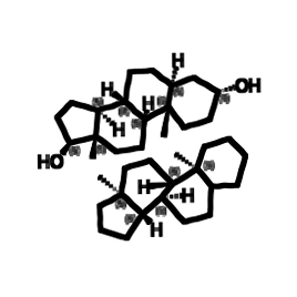 C[C@@]12CCC[C@H]1[C@@H]1CCC3CCCC[C@]3(C)[C@H]1CC2.C[C@]12CC[C@@H](O)C[C@@H]1CC[C@@H]1[C@@H]2CC[C@]2(C)[C@@H](O)CC[C@@H]12